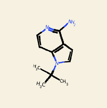 CC(C)(C)n1ccc2c(N)nccc21